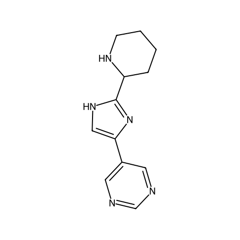 c1ncc(-c2c[nH]c(C3CCCCN3)n2)cn1